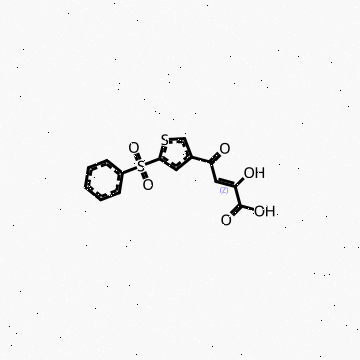 O=C(O)/C(O)=C/C(=O)c1csc(S(=O)(=O)c2ccccc2)c1